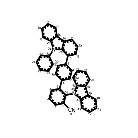 N#Cc1cccc(-c2ccc(-c3cccc4c5ccccc5n(-c5ccccc5)c34)cc2)c1-n1c2ccccc2c2ccccc21